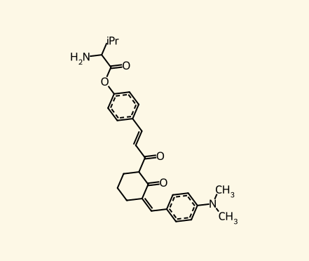 CC(C)C(N)C(=O)Oc1ccc(/C=C/C(=O)C2CCC/C(=C/c3ccc(N(C)C)cc3)C2=O)cc1